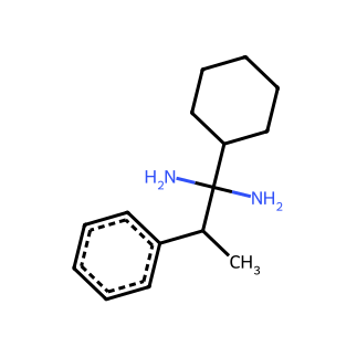 CC(c1ccccc1)C(N)(N)C1CCCCC1